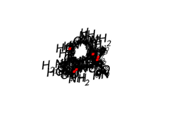 CNC(=O)c1ccccc1Sc1ccc2c(/C=C/c3ccccn3)nn(C(=O)NCCNC(=O)CCC(=O)N[C@@H](CCN)C(=O)N[C@@H](C(=O)N[C@@H](CCN)C(=O)N[C@@H]3CCNC(=O)[C@H]([C@H](C)O)NC(=O)[C@H](CCN)NC(=O)[C@H](CCN)NC(=O)[C@H](CC(C)C)NC(=O)[C@H](Cc4ccccc4)NC(=O)[C@H](CCNF)NC3=O)C(C)O)c2c1